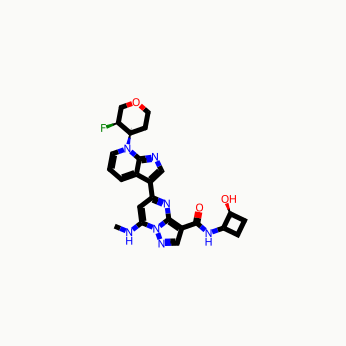 CNc1cc(-c2cnc3n([C@@H]4CCOC[C@@H]4F)cccc2-3)nc2c(C(=O)NC3CC[C@@H]3O)cnn12